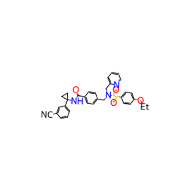 CCOc1ccc(S(=O)(=O)N(Cc2ccc(C(=O)NC3(c4cccc(C#N)c4)CC3)cc2)Cc2ccccn2)cc1